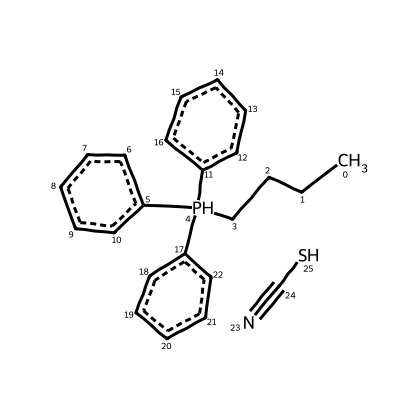 CCCC[PH](c1ccccc1)(c1ccccc1)c1ccccc1.N#CS